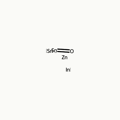 [In].[O]=[Sn].[Sn].[Zn]